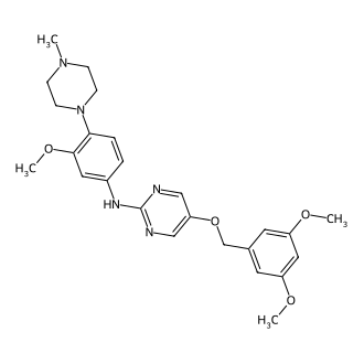 COc1cc(COc2cnc(Nc3ccc(N4CCN(C)CC4)c(OC)c3)nc2)cc(OC)c1